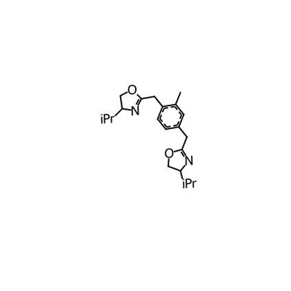 Cc1cc(CC2=NC(C(C)C)CO2)ccc1CC1=NC(C(C)C)CO1